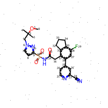 COC(C)(C)Cn1ccc(S(=O)(=O)NC(=O)Cc2c(-c3ccnc(C#N)c3)cc(F)c3c2CCC3)n1